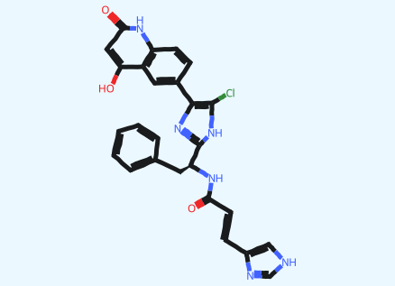 O=C(C=Cc1c[nH]cn1)N[C@@H](Cc1ccccc1)c1nc(-c2ccc3[nH]c(=O)cc(O)c3c2)c(Cl)[nH]1